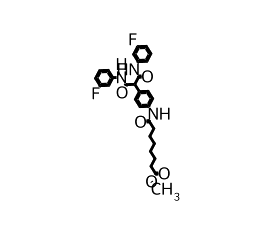 COC(=O)CCCCCCC(=O)Nc1ccc(C(C(=O)Nc2cccc(F)c2)C(=O)Nc2cccc(F)c2)cc1